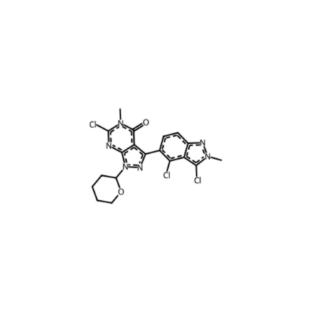 Cn1nc2ccc(-c3nn(C4CCCCO4)c4nc(Cl)n(C)c(=O)c34)c(Cl)c2c1Cl